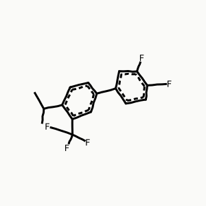 CC(C)c1ccc(-c2ccc(F)c(F)c2)cc1C(F)(F)F